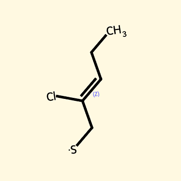 CC/C=C(\Cl)C[S]